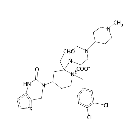 CN1CCC(N2CCN(C3(CC=O)CC(N4Cc5sccc5NC4=O)CC[N@+]3(Cc3ccc(Cl)c(Cl)c3)C(=O)[O-])CC2)CC1